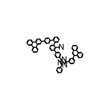 N#Cc1c(-c2ccc(-c3nc(-c4ccccc4)nc(-c4cccc(-c5cc6ccccc6c6ccccc56)c4)n3)cc2)cccc1-c1ccccc1-c1ccc(-c2ccc3c4ccccc4c4ccccc4c3c2)cc1